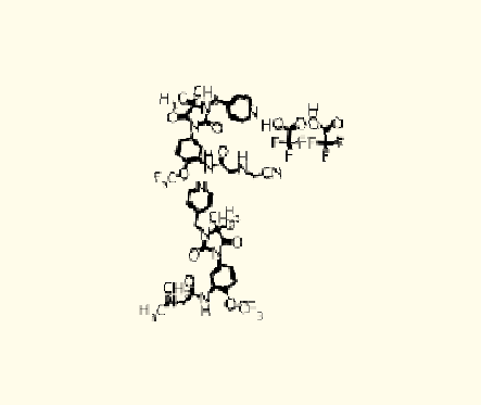 CC1(C)C(=O)N(c2ccc(OC(F)(F)F)c(NC(=O)CNCC#N)c2)C(=O)N1Cc1ccncc1.CN(C)CC(=O)Nc1cc(N2C(=O)N(Cc3ccncc3)C(C)(C)C2=O)ccc1OC(F)(F)F.O=C(O)C(F)(F)F.O=C(O)C(F)(F)F